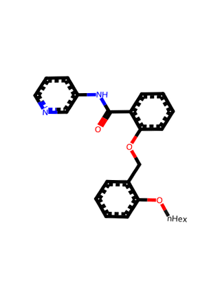 CCCCCCOc1ccccc1COc1ccccc1C(=O)Nc1cccnc1